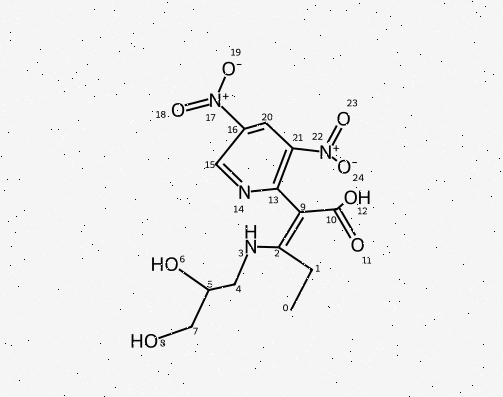 CCC(NCC(O)CO)=C(C(=O)O)c1ncc([N+](=O)[O-])cc1[N+](=O)[O-]